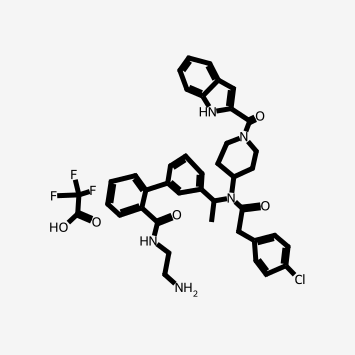 CC(c1cccc(-c2ccccc2C(=O)NCCN)c1)N(C(=O)Cc1ccc(Cl)cc1)C1CCN(C(=O)c2cc3ccccc3[nH]2)CC1.O=C(O)C(F)(F)F